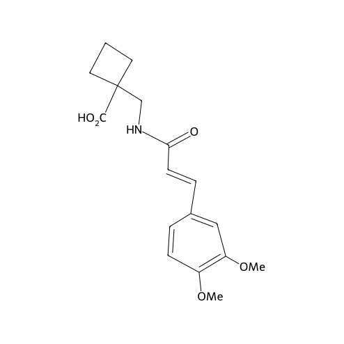 COc1ccc(/C=C/C(=O)NCC2(C(=O)O)CCC2)cc1OC